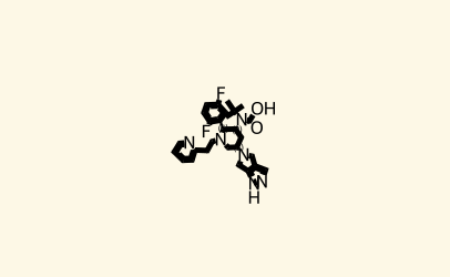 CC(C)(C)N(C(=O)O)[C@@H]1C[C@H](N2Cc3cn[nH]c3C2)CN(CCc2ccccn2)[C@H]1c1cc(F)ccc1F